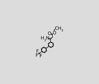 CCOC(=O)C[C@H](N)c1cccc(-c2ccc(C(F)(F)F)cc2)c1